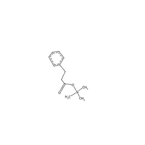 C[Si](C)(C)OC(=O)CCc1ccccc1